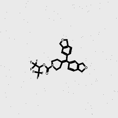 O=C(OC(C(F)(F)F)C(F)(F)F)N1CCC(=C(c2ccc3c(c2)COC3)c2ccc3c(c2)COC3)CC1